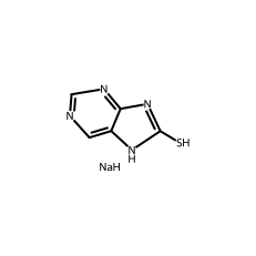 Sc1nc2ncncc2[nH]1.[NaH]